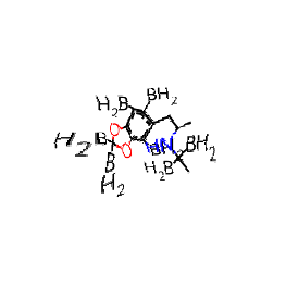 Bc1c(B)c2c(c(B)c1C[C@@H](C)NC(B)(B)C)OC(B)(B)O2